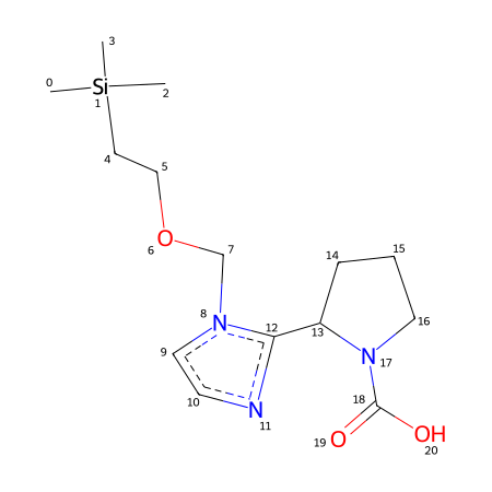 C[Si](C)(C)CCOCn1ccnc1C1CCCN1C(=O)O